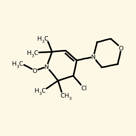 CON1C(C)(C)C=C(N2CCOCC2)C(Cl)C1(C)C